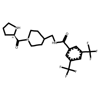 O=C(NCC1CCN(C(=O)[C@H]2CCCN2)CC1)c1cc(C(F)(F)F)cc(C(F)(F)F)c1